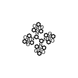 c1cc2c3c(c1)Oc1cccc4c1B3c1c(cccc1N4c1cc(-c3cc(N4c5cccc6c5B5c7c(cccc7Oc7cccc4c75)O6)cc(N4c5cccc6c5B5c7c(cccc7Oc7cccc4c75)O6)c3)cc(N3c4cccc5c4B4c6c(cccc6Oc6cccc3c64)O5)c1)O2